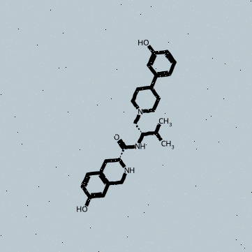 CC(C)[C@@H](CN1CCC(c2cccc(O)c2)CC1)NC(=O)[C@H]1Cc2ccc(O)cc2CN1